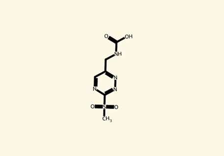 CS(=O)(=O)c1ncc(CNC(=O)O)nn1